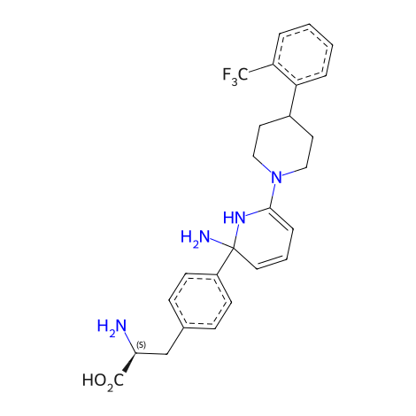 N[C@@H](Cc1ccc(C2(N)C=CC=C(N3CCC(c4ccccc4C(F)(F)F)CC3)N2)cc1)C(=O)O